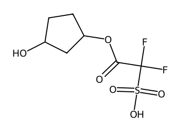 O=C(OC1CCC(O)C1)C(F)(F)S(=O)(=O)O